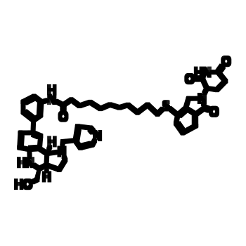 O=C1CCC(N2Cc3c(SCCCCCCCCCCC(=O)Nc4cccc(-c5ccc6c(c5)[C@H]5[C@H](CCN5Cc5ccncc5)[C@@H](CO)N6)c4)cccc3C2=O)C(=O)N1